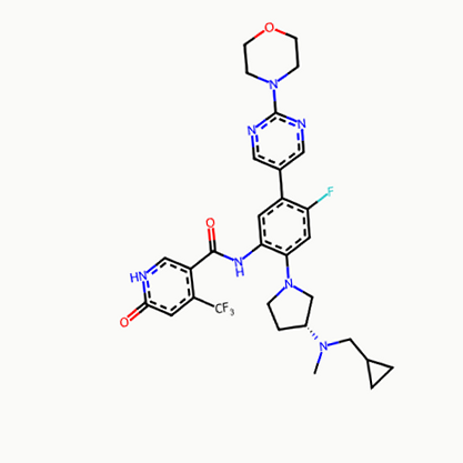 CN(CC1CC1)[C@@H]1CCN(c2cc(F)c(-c3cnc(N4CCOCC4)nc3)cc2NC(=O)c2c[nH]c(=O)cc2C(F)(F)F)C1